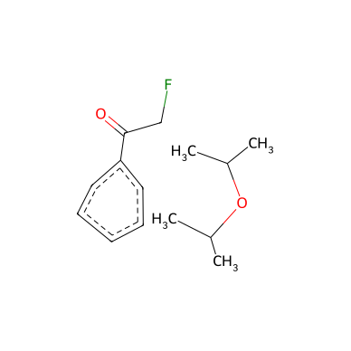 CC(C)OC(C)C.O=C(CF)c1ccccc1